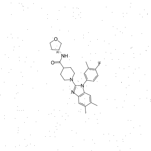 Cc1cc2nc(N3CCC(C(=O)N[C@@H]4CCOC4)CC3)n(-c3ccc(F)c(C)c3)c2cc1C